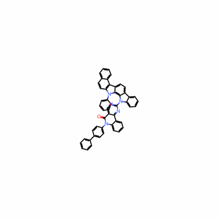 O=c1c2cnc(-n3c4ccccc4c4ccc5c6c7ccccc7ccc6n(-c6ccccc6)c5c43)nc2c2ccccc2n1-c1ccc(-c2ccccc2)cc1